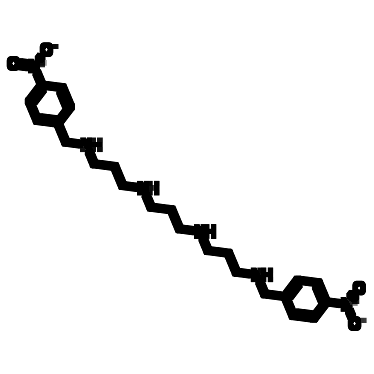 O=[N+]([O-])c1ccc(CNCCCNCCCNCCCNCc2ccc([N+](=O)[O-])cc2)cc1